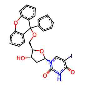 O=c1[nH]c(=O)n([C@H]2C[C@H](O)[C@@H](COC3(c4ccccc4)c4ccccc4Oc4ccccc43)O2)cc1I